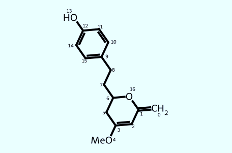 C=C1C=C(OC)CC(CCc2ccc(O)cc2)O1